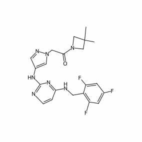 CC1(C)CN(C(=O)Cn2cc(Nc3nccc(NCc4c(F)cc(F)cc4F)n3)cn2)C1